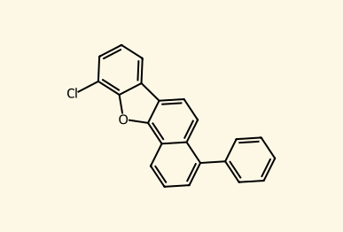 Clc1cccc2c1oc1c3cccc(-c4ccccc4)c3ccc21